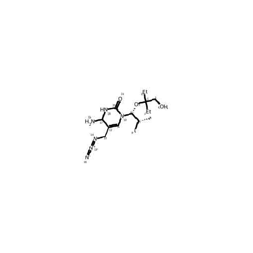 CCC(CC)(CO)O[C@H]([C@H](C)I)N1C=C(CN=[N+]=[N-])C(N)NC1=O